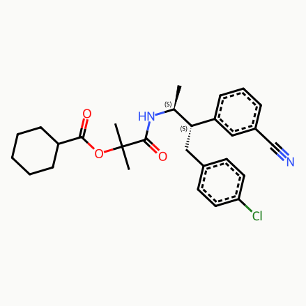 C[C@H](NC(=O)C(C)(C)OC(=O)C1CCCCC1)[C@@H](Cc1ccc(Cl)cc1)c1cccc(C#N)c1